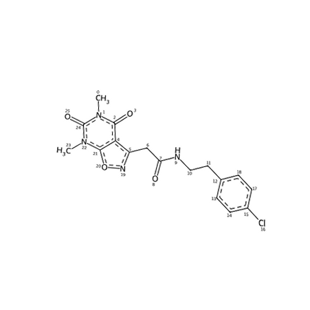 Cn1c(=O)c2c(CC(=O)NCCc3ccc(Cl)cc3)noc2n(C)c1=O